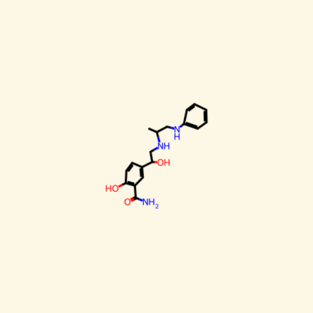 CC(CNc1ccccc1)NCC(O)c1ccc(O)c(C(N)=O)c1